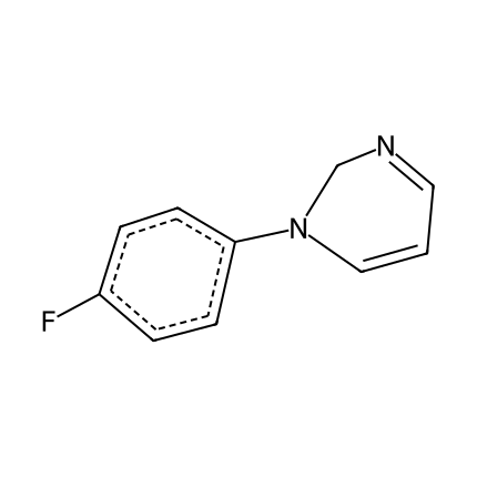 Fc1ccc(N2C=CC=NC2)cc1